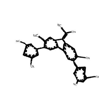 N#CC(C#N)=C1c2cc(C#N)c(-c3cc(C#N)cc(C#N)c3)cc2-c2cc(-c3cc(C#N)cc(C#N)c3)c(C#N)cc21